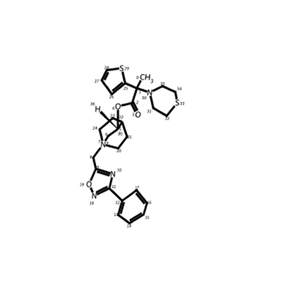 CC(C(=O)O[C@H]1C[N+]2(Cc3nc(-c4ccccc4)no3)CCC1CC2)(c1cccs1)N1CCSCC1